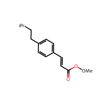 COOC(=O)C=Cc1ccc(CCC(C)C)cc1